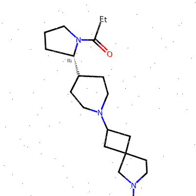 CCOC(=O)N1CCC2(CC(N3CCC([C@@H]4CCCN4C(=O)CC)CC3)C2)C1